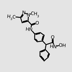 Cc1cc(C(=O)Nc2ccc(C(C(=O)NO)c3ccccc3)cc2)n(C)n1